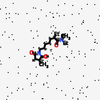 CCC(CCCCCN1C(=O)CC(C)C1=O)C(=O)N(C)CC